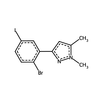 Cc1cc(-c2cc(I)ccc2Br)nn1C